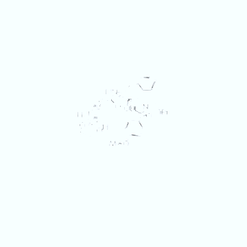 COc1ccc(S(=O)(=O)N(CC(C)C)C[C@@H](O)[C@H](Cc2ccccc2)NC(=O)O[C@@H]2C[C@@H]3OCCO[C@@H]3C2)cc1